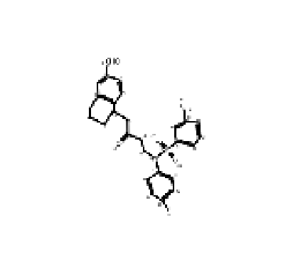 O=Cc1ccc2c(c1)CCCC2CC(=O)CCN(c1ccc(F)cc1)S(=O)(=O)c1cccc(C(F)(F)F)c1